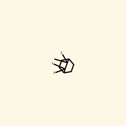 CC1(F)C2CCC(CC2)C1(F)F